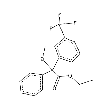 CCOC(=O)C(OC)(c1ccccc1)c1cccc(C(F)(F)F)c1